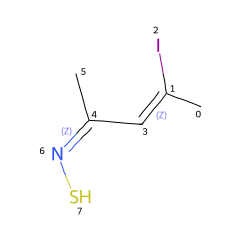 C/C(I)=C/C(C)=N\S